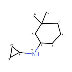 CC1(C)[CH]CCC(NC2CC2)C1